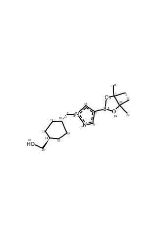 CC1(C)OB(c2cnn(C[C@H]3CC[C@H](CO)CC3)c2)OC1(C)C